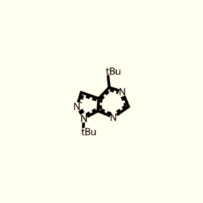 CC(C)(C)c1ncnc2c1cnn2C(C)(C)C